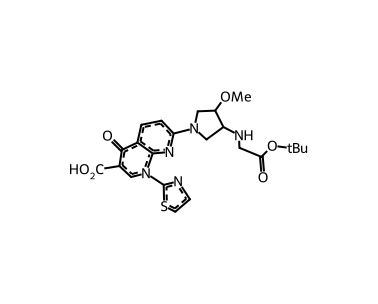 COC1CN(c2ccc3c(=O)c(C(=O)O)cn(-c4nccs4)c3n2)CC1NCC(=O)OC(C)(C)C